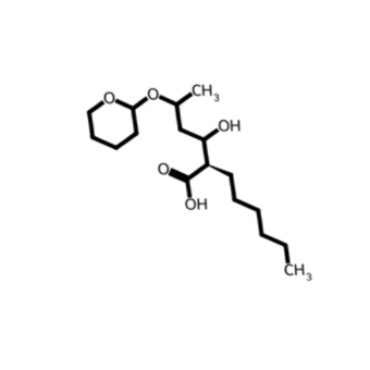 CCCCCC[C@@H](C(=O)O)C(O)CC(C)OC1CCCCO1